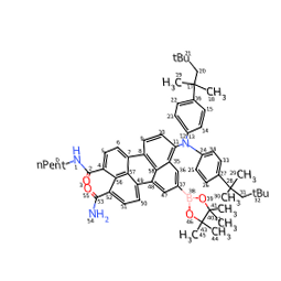 CCCCCNC(=O)c1ccc2c3ccc(N(c4ccc(C(C)(C)CC(C)(C)C)cc4)c4ccc(C(C)(C)CC(C)(C)C)cc4)c4cc(B5OC(C)(C)C(C)(C)O5)cc(c5ccc(C(N)=O)c1c25)c43